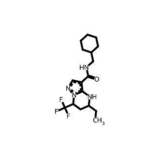 CCC1CC(C(F)(F)F)n2ncc(C(=O)NCC3CCCCC3)c2N1